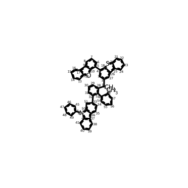 C=C(c1cc(-c2cccc3c2oc2ccccc23)c2sc3ccccc3c2c1)c1cccc(-c2ccc3c4ccccc4n(-c4ccccc4)c3c2)c1-c1ccccc1C